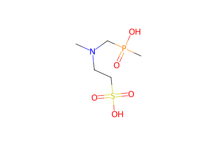 CN(CCS(=O)(=O)O)CP(C)(=O)O